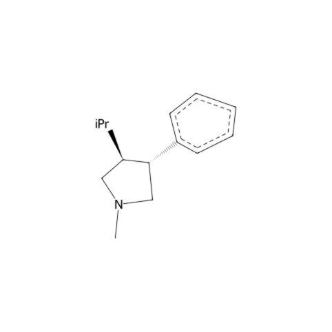 CC(C)[C@@H]1CN(C)C[C@H]1c1ccccc1